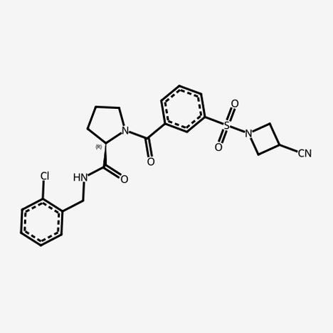 N#CC1CN(S(=O)(=O)c2cccc(C(=O)N3CCC[C@@H]3C(=O)NCc3ccccc3Cl)c2)C1